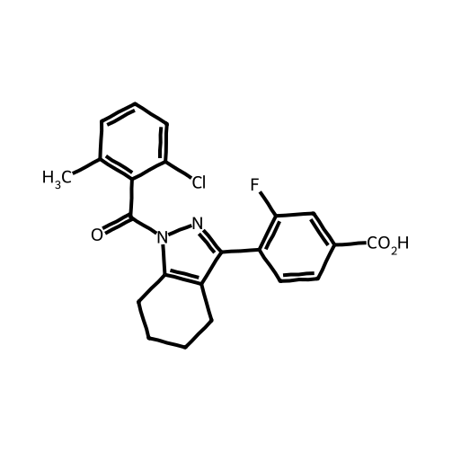 Cc1cccc(Cl)c1C(=O)n1nc(-c2ccc(C(=O)O)cc2F)c2c1CCCC2